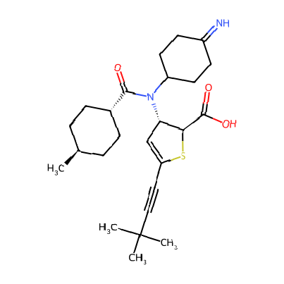 CC(C)(C)C#CC1=C[C@H](N(C(=O)[C@H]2CC[C@H](C)CC2)C2CCC(=N)CC2)C(C(=O)O)S1